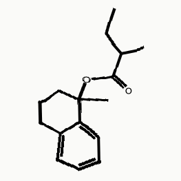 CCC(C)C(=O)OC1(C)CCCc2ccccc21